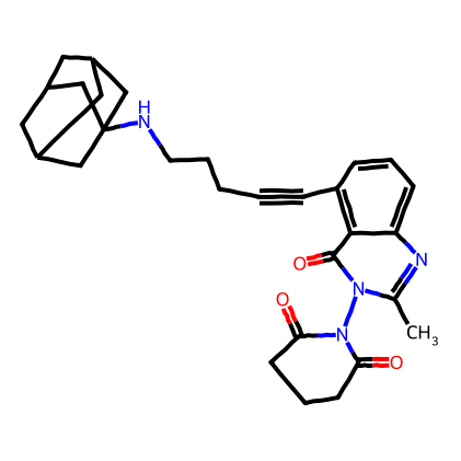 Cc1nc2cccc(C#CCCCNC34CC5CC(CC(C5)C3)C4)c2c(=O)n1N1C(=O)CCCC1=O